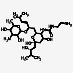 CC(C)/C=C/[C@@H](CC1O[C@](O)(C[C@@H](O)C(C)C)C[C@H](O)C1NC(=O)NCCN)OC1OC(C)C(O)C(N)C1O